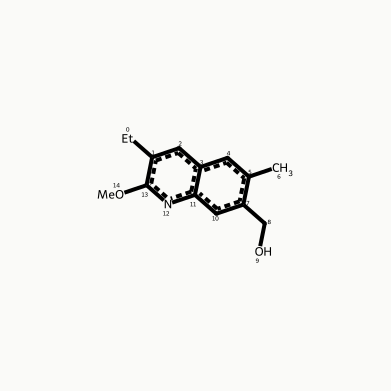 CCc1cc2cc(C)c(CO)cc2nc1OC